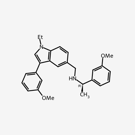 CCn1cc(-c2cccc(OC)c2)c2cc(CN[C@H](C)c3cccc(OC)c3)ccc21